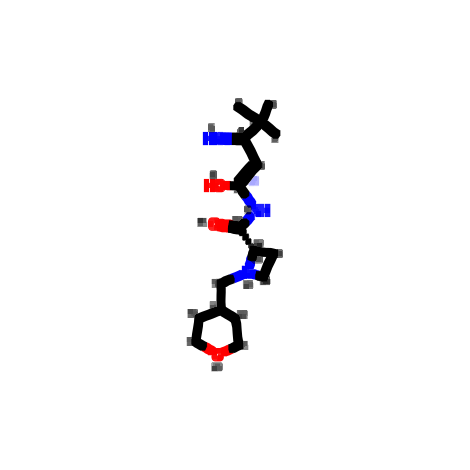 CC(C)(C)C(=N)/C=C(\O)NC(=O)[C@@H]1CCN1CC1CCOCC1